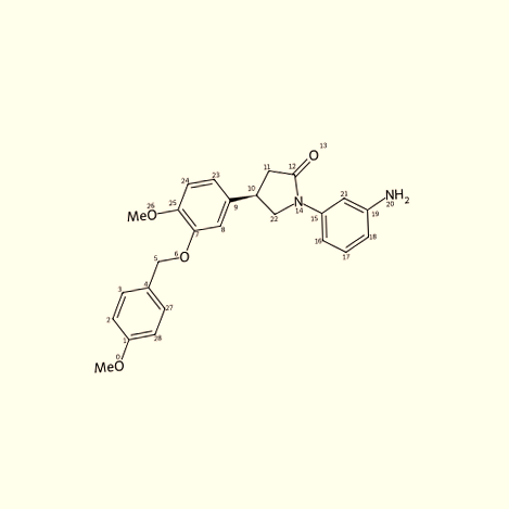 COc1ccc(COc2cc([C@H]3CC(=O)N(c4cccc(N)c4)C3)ccc2OC)cc1